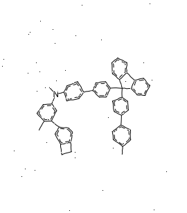 Cc1ccc(-c2ccc(C3(c4ccc(-c5ccc(N(C)c6ccc(C)c(-c7ccc8c(c7)CC8)c6)cc5)cc4)c4ccccc4-c4ccccc43)cc2)cc1